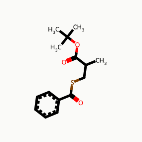 CC(CSC(=O)c1ccccc1)C(=O)OC(C)(C)C